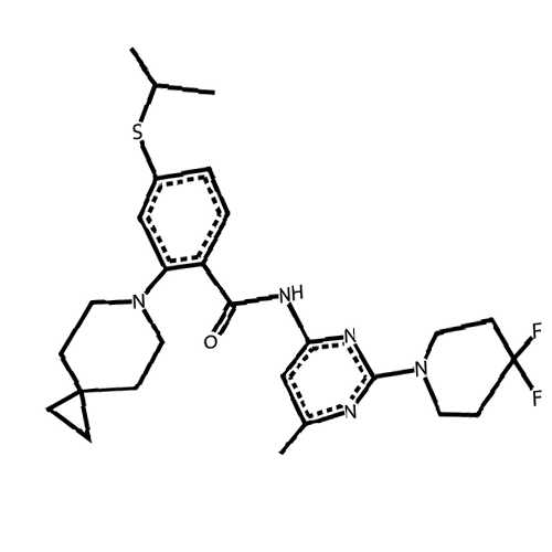 Cc1cc(NC(=O)c2ccc(SC(C)C)cc2N2CCC3(CC2)CC3)nc(N2CCC(F)(F)CC2)n1